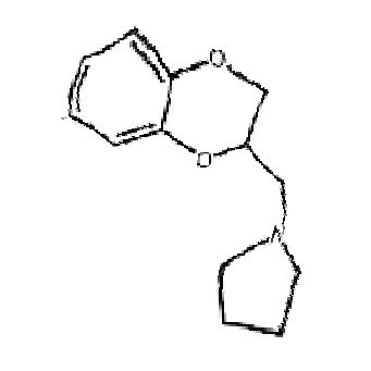 [c]1ccc2c(c1)OC(CN1CCCC1)CO2